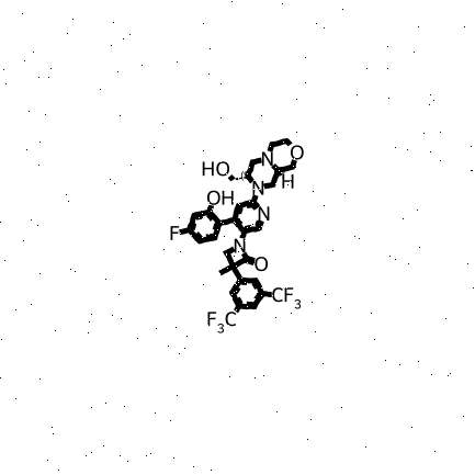 CC1(c2cc(C(F)(F)F)cc(C(F)(F)F)c2)CN(c2cnc(N3C[C@H]4COCCN4C[C@H]3CO)cc2-c2ccc(F)cc2O)C1=O